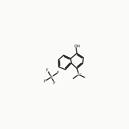 C[S+](C)c1ccc(O)c2ccccc12.F[B-](F)(F)F